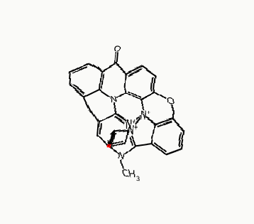 Cn1c2[n+](c3ccccc31)[N+]13c4c(cccc4-2)Oc2ccc4c(=O)c5cccc6c7ccc[n+]1c7n(c4c23)c56